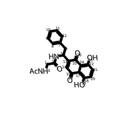 CC(=O)NCC(=O)NC(Cc1ccccc1)C1=CC(=O)c2c(O)ccc(O)c2C1=O